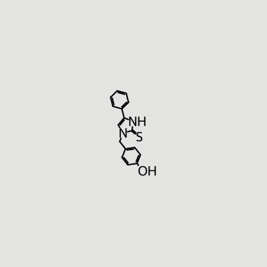 Oc1ccc(Cn2cc(-c3ccccc3)[nH]c2=S)cc1